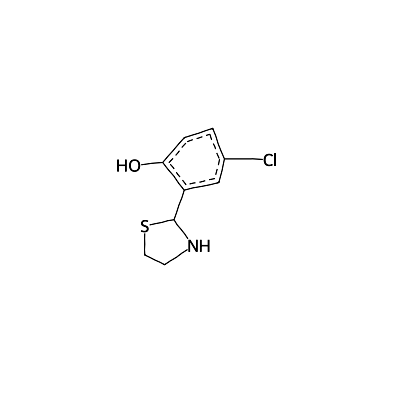 Oc1ccc(Cl)cc1C1NCCS1